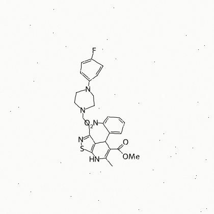 COC(=O)C1=C(C)Nc2snc(CCN3CCN(c4ccc(F)cc4)CC3)c2C1c1ccccc1[N+](=O)[O-]